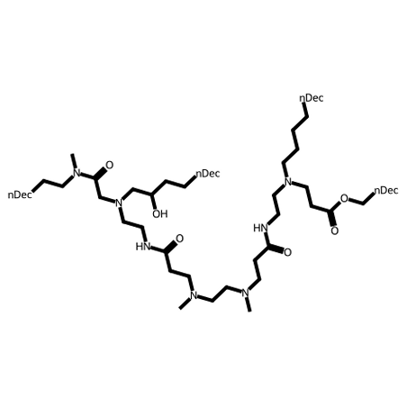 CCCCCCCCCCCCCCN(CCNC(=O)CCN(C)CCN(C)CCC(=O)NCCN(CC(=O)N(C)CCCCCCCCCCCC)CC(O)CCCCCCCCCCCC)CCC(=O)OCCCCCCCCCCC